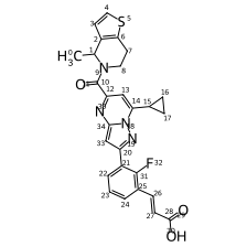 CC1c2ccsc2CCN1C(=O)c1cc(C2CC2)n2nc(-c3cccc(/C=C/C(=O)O)c3F)cc2n1